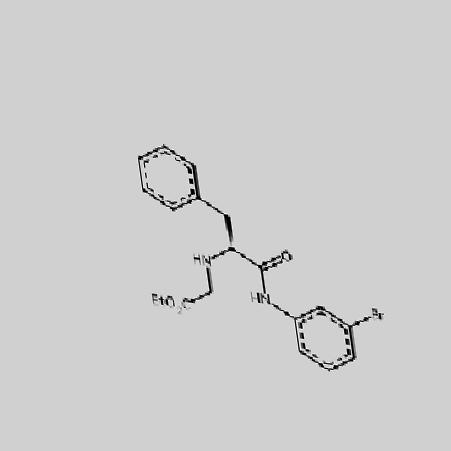 CCOC(=O)CN[C@@H](Cc1ccccc1)C(=O)Nc1cccc(Br)c1